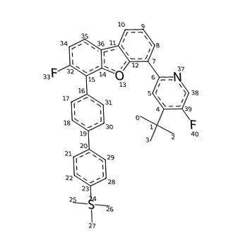 CC(C)(C)c1cc(-c2cccc3c2oc2c(-c4ccc(-c5ccc(S(C)(C)C)cc5)cc4)c(F)ccc23)ncc1F